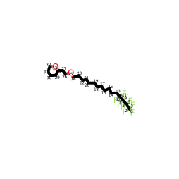 FC(F)(F)C(F)(F)C(F)(F)C(F)(F)CCCCCCCCCCCCOCCC1CCCCO1